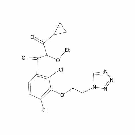 CCOC(C(=O)c1ccc(Cl)c(OCCn2cnnn2)c1Cl)C(=O)C1CC1